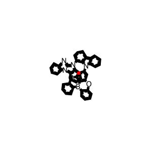 c1ccc2c(c1)Oc1cc(-n3c4ccccc4c4cccc(-n5c6ccccc6n6c7ccccc7nc56)c43)cc3c1B2c1ccccc1O3